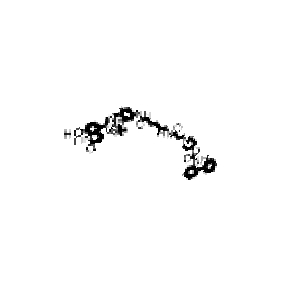 CC(C)(C)[Si](C)(C)OC(CNCc1ccc(NC(=O)CCCCCNC(=O)CCN2CCC(OC(=O)Nc3ccccc3-c3ccccc3)CC2)cc1)c1ccc(O)c2[nH]c(=O)ccc12